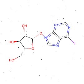 OC[C@H]1O[C@@H](On2cnc3c(I)ncnc32)[C@@H](O)[C@@H]1O